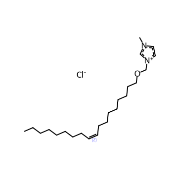 CCCCCCCC/C=C\CCCCCCCCOC[n+]1ccn(C)c1.[Cl-]